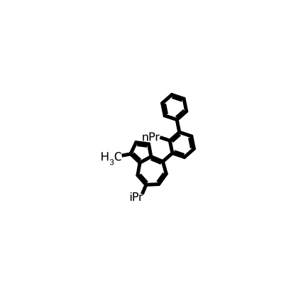 CCCc1c(-c2ccccc2)cccc1-c1ccc(C(C)C)cc2c(C)ccc1-2